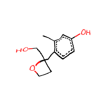 Cc1cc(O)ccc1C1(CO)CCO1